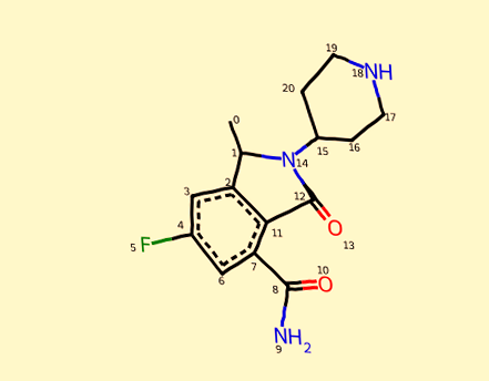 CC1c2cc(F)cc(C(N)=O)c2C(=O)N1C1CCNCC1